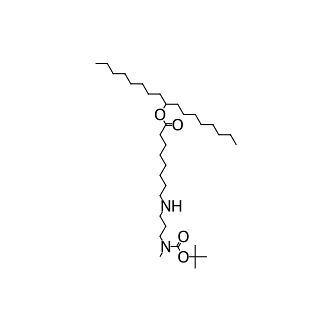 CCCCCCCCC(CCCCCCCC)OC(=O)CCCCCCCNCCCN(C)C(=O)OC(C)(C)C